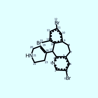 Brc1cnc2c(c1)CCc1cc(Br)cc(Br)c1C2C1=CCNCC1